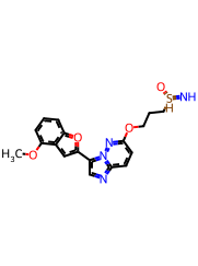 COc1cccc2oc(-c3cnc4ccc(OCCC[SH](=N)=O)nn34)cc12